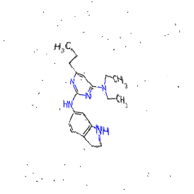 CCCc1cc(N(CC)CC)nc(Nc2ccc3c(c2)NCC3)n1